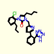 CCCCc1cn(-c2c(Cl)cccc2CCC)c(=O)n1Cc1ccc(-c2ccccc2-c2nnn[nH]2)cn1